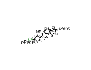 CCCCCC1(Cl)C=CC(c2ccc(C34CCC(CCCCC)(CC3)CC4)c(C#N)c2C#N)=CC1